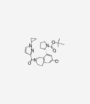 CC(C)(C)OC(=O)N1CCC[C@H]1c1cc(Cl)cc2c1CN(C(=O)c1ccn(C3CC3)n1)CC2